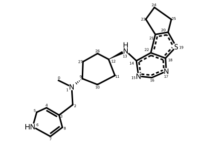 CN(CC1=CCNC=C1)[C@H]1CC[C@H](Nc2ncnc3sc4c(c23)CCC4)CC1